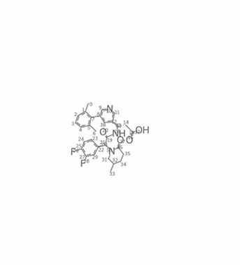 Cc1cccc(C)c1-c1cncc([C@H](CC(=O)O)NC(=O)[C@H](c2ccc(F)c(F)c2)N2CC(C)CCC2=O)c1